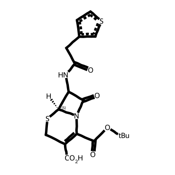 CC(C)(C)OC(=O)C1=C(C(=O)O)CS[C@H]2C(NC(=O)Cc3ccsc3)C(=O)N12